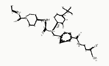 CCOC(=O)N1CCC(NC(=O)N(Cc2ccc(C(=O)NCCC(=O)O)cc2)C2CCC(C(C)(C)C)CC2)CC1